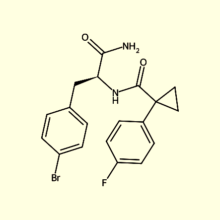 NC(=O)[C@H](Cc1ccc(Br)cc1)NC(=O)C1(c2ccc(F)cc2)CC1